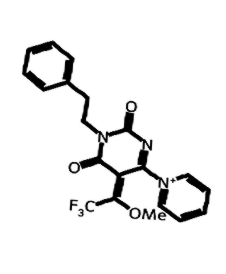 CO/C(=C1/C(=O)N(CCc2ccccc2)C(=O)N=C1[n+]1ccccc1)C(F)(F)F